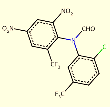 O=CN(c1cc(C(F)(F)F)ccc1Cl)c1c([N+](=O)[O-])cc([N+](=O)[O-])cc1C(F)(F)F